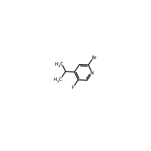 CC(C)c1cc(Br)ncc1F